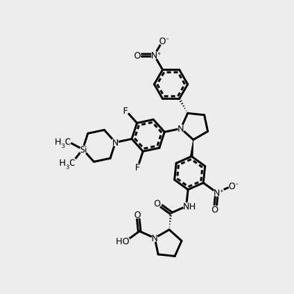 C[Si]1(C)CCN(c2c(F)cc(N3[C@H](c4ccc([N+](=O)[O-])cc4)CC[C@H]3c3ccc(NC(=O)[C@@H]4CCCN4C(=O)O)c([N+](=O)[O-])c3)cc2F)CC1